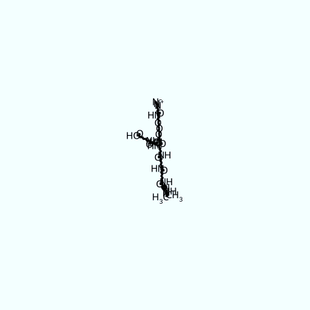 CC(C)=NNc1ccc(C(=O)NCCCCCC(=O)NCCCCCC(=O)NCCCC[C@H](NC(=O)CCC(=O)NCCCCCC(=O)O)C(=O)NCCCOCCOCCOCCCNC(=O)CCCN=[N+]=[N-])cn1